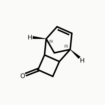 O=C1CC2C1[C@@H]1C=C[C@H]2C1